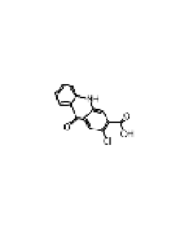 O=C(O)c1cc2[nH]c3ccccc3c(=O)c2cc1Cl